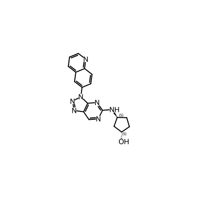 O[C@H]1CC[C@H](Nc2ncc3nnn(-c4ccc5ncccc5c4)c3n2)C1